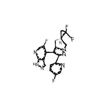 Fc1ccc(-c2nn3c(c2-c2c(F)cnc4[nH]ncc24)C[C@]2(C3)CC2(F)F)nc1